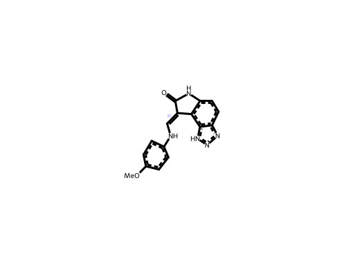 COc1ccc(N/C=C2/C(=O)Nc3ccc4nn[nH]c4c32)cc1